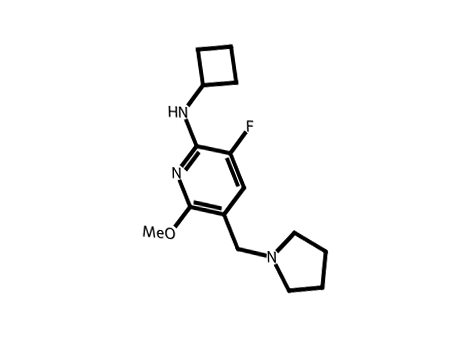 COc1nc(NC2CCC2)c(F)cc1CN1CCCC1